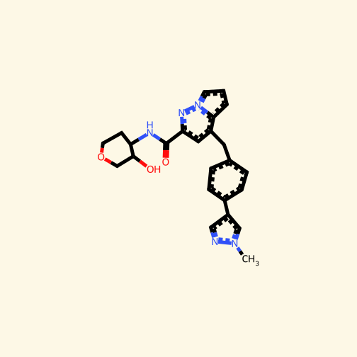 Cn1cc(-c2ccc(Cc3cc(C(=O)NC4CCOCC4O)nn4cccc34)cc2)cn1